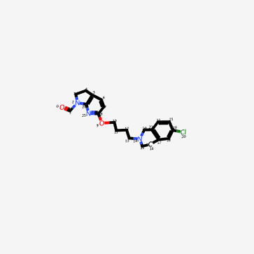 O=CN1CCc2ccc(OCCCCN3CCc4cc(Cl)ccc4C3)nc21